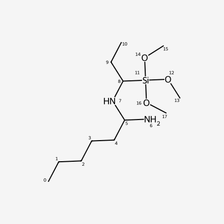 CCCCCC(N)NC(CC)[Si](OC)(OC)OC